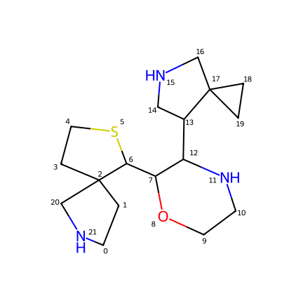 C1CC2(CCSC2C2OCCNC2C2CNCC23CC3)CN1